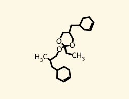 CCC1(OCC(C)CC2CC=CCC2)OCC(CC2CC=CCC2)CO1